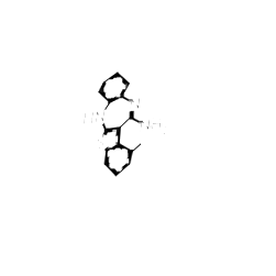 Cc1cccc2sc3c(c12)C(N)=Nc1ccccc1N3